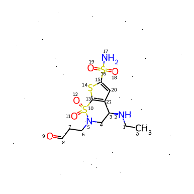 CCN[C@H]1CN(CCC=O)S(=O)(=O)c2sc(S(N)(=O)=O)cc21